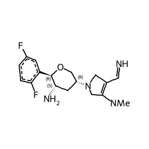 CNC1=C(C=N)CN([C@H]2CO[C@H](c3cc(F)ccc3F)[C@@H](N)C2)C1